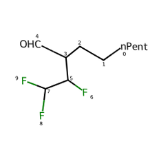 CCCCCCCC(C=O)C(F)C(F)F